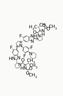 COC(=O)N[C@H](C(=O)N1CCCC1c1nc2cc([C@H]3CC[C@H](c4cc5nc([C@@H]6CCCN6C(=O)[C@@H](NC(=O)OC)C(C)C)[nH]c5cc4F)N3c3cc(F)c(N4CCCCC4)c(F)c3)c(F)cc2[nH]1)C(C)C